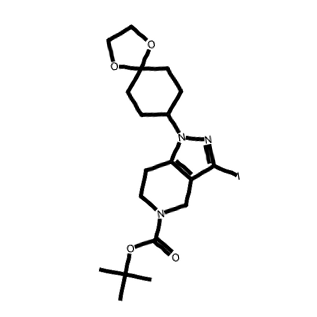 CC(C)(C)OC(=O)N1CCc2c(c(I)nn2C2CCC3(CC2)OCCO3)C1